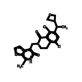 Cc1[nH]c(=O)c(CN2CCc3c(Cl)cc(C(C)C4COC4)c(Cl)c3C2=O)c2ccoc12